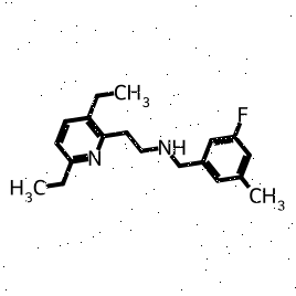 CCc1ccc(CC)c(CCNCc2cc(C)cc(F)c2)n1